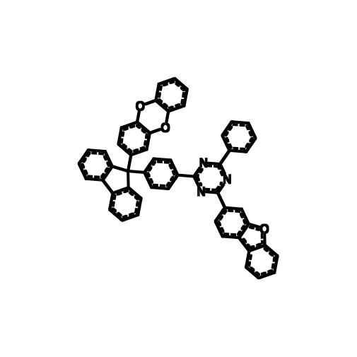 c1ccc(-c2nc(-c3ccc(C4(c5ccc6c(c5)Oc5ccccc5O6)c5ccccc5-c5ccccc54)cc3)nc(-c3ccc4c(c3)oc3ccccc34)n2)cc1